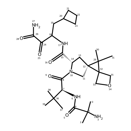 CC(C)(N)C(=O)N[C@H](C(=O)N1C[C@]2(C[C@H]1C(=O)NC(CC1CCC1)C(=O)C(N)=O)C(C)(C)C21COC1)C(C)(C)C